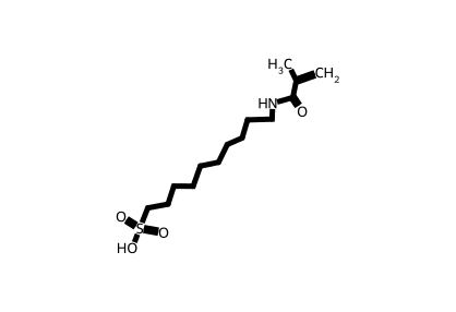 C=C(C)C(=O)NCCCCCCCCCCS(=O)(=O)O